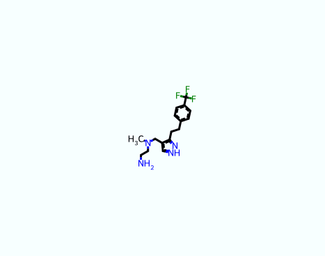 CN(CCN)Cc1c[nH]nc1CCc1ccc(C(F)(F)F)cc1